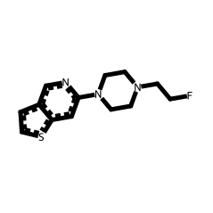 FCCN1CCN(c2cc3sccc3cn2)CC1